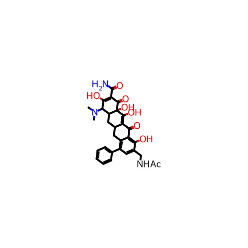 CC(=O)NCc1cc(-c2ccccc2)c2c(c1O)C(=O)C1=C(O)C3(O)C(=O)C(C(N)=O)=C(O)C(N(C)C)C3CC1C2